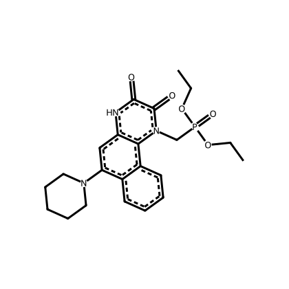 CCOP(=O)(Cn1c(=O)c(=O)[nH]c2cc(N3CCCCC3)c3ccccc3c21)OCC